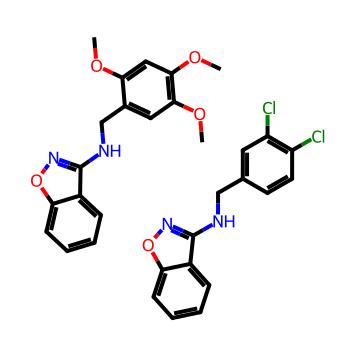 COc1cc(OC)c(OC)cc1CNc1noc2ccccc12.Clc1ccc(CNc2noc3ccccc23)cc1Cl